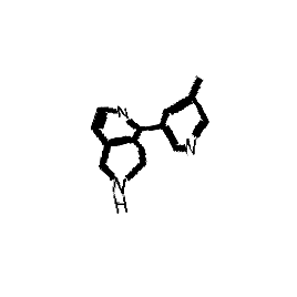 Cc1cncc(-c2nccc3c2CNC3)c1